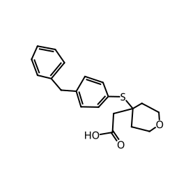 O=C(O)CC1(Sc2ccc(Cc3ccccc3)cc2)CCOCC1